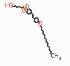 CCCCCCCCCCCCCCCCOc1ccc(C=Cc2ccc(S(=O)(=O)CCCCCCO)cc2)cc1